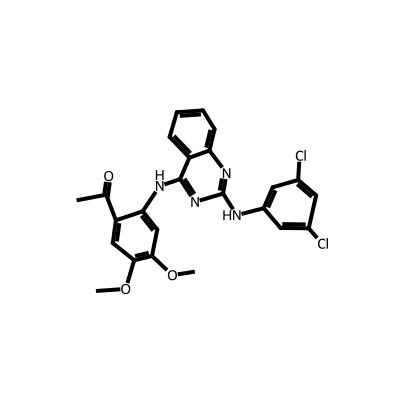 COc1cc(Nc2nc(Nc3cc(Cl)cc(Cl)c3)nc3ccccc23)c(C(C)=O)cc1OC